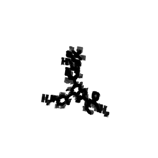 CCN(C(N)=O)c1nc2cc(-c3cnc(NS(=O)(=O)C(C)(C)C)nc3)cc(-c3cc(N)ccn3)c2s1